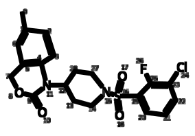 Cc1ccc2c(c1)COC(=O)N2C1CCN(S(=O)(=O)c2cccc(Cl)c2F)CC1